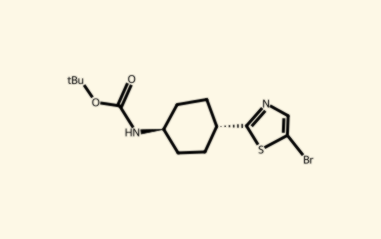 CC(C)(C)OC(=O)N[C@H]1CC[C@H](c2ncc(Br)s2)CC1